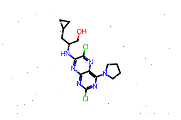 OCC(CC1CC1)Nc1nc2nc(Cl)nc(N3CCCC3)c2nc1Cl